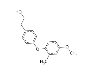 COc1[c]c(C)c(Oc2ccc(CCO)cc2)cc1